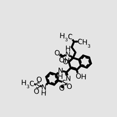 CC(C)CCC1(NC(=O)O)C(=O)C(C2=NS(=O)(=O)c3cc(NS(C)(=O)=O)ccc3N2)=C(O)c2ccccc21